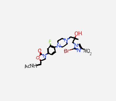 CC(=O)NCC1CN(c2ccc(N3CCN(CC(C)(O)Cn4cc([N+](=O)[O-])nc4Br)CC3)c(F)c2)C(=O)O1